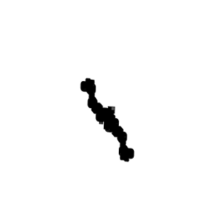 C=C(C)C(=O)OCCCCOc1ccc(C(=O)Oc2cc(F)c(OC(=O)c3ccc(OCCCCOC(=O)C(=C)C)cc3)c(F)c2F)cc1